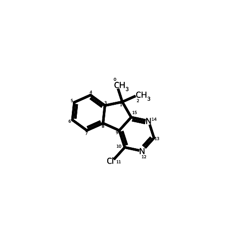 CC1(C)c2ccccc2-c2c(Cl)ncnc21